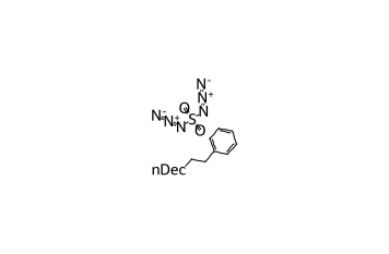 CCCCCCCCCCCCc1ccccc1.[N-]=[N+]=NS(=O)(=O)N=[N+]=[N-]